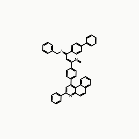 C=N/C(=C\C(=N/Cc1ccccc1)c1ccc(-c2ccccc2)cc1)c1ccc(-c2cc(-c3ccccc3)nc3ccc4ccccc4c23)cc1